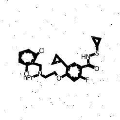 CCCN(CCOc1cc(F)c(C(=O)NSC2CC2)cc1C1CC1)Cc1c(Cl)cccc1Cl